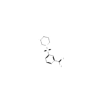 N=C(N)c1cccc(S(=O)(=O)N2CCCCC2)c1